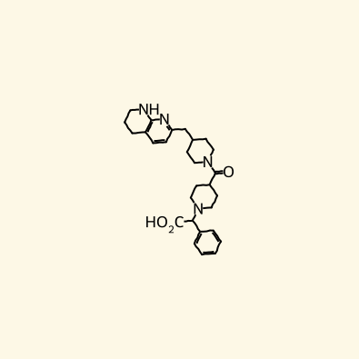 O=C(O)C(c1ccccc1)N1CCC(C(=O)N2CCC(Cc3ccc4c(n3)NCCC4)CC2)CC1